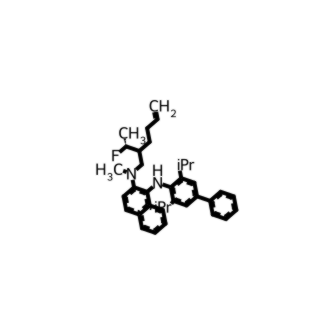 C=CCCC(CN(C)c1ccc2ccccc2c1Nc1c(C(C)C)cc(-c2ccccc2)cc1C(C)C)[C@@H](C)F